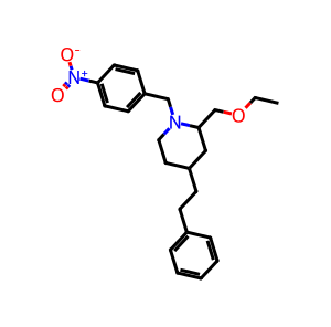 CCOCC1CC(CCc2ccccc2)CCN1Cc1ccc([N+](=O)[O-])cc1